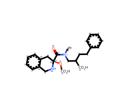 CC(C)N(CC(CCc1ccccc1)C(=O)O)C(=O)[C@@]1(OC(=O)O)Cc2ccccc2CN1